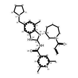 C=CC(=O)N1CCCC[C@@H](N2c3c(C)cc(CN4CCCC4)cc3NC2NC(=O)c2cc(C)nc(C)c2)C1